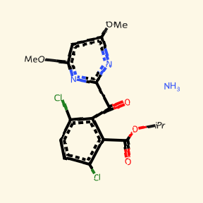 COc1cc(OC)nc(C(=O)c2c(Cl)ccc(Cl)c2C(=O)OC(C)C)n1.N